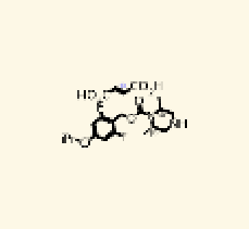 CC(C)Oc1cc(F)c(COC(=O)N2[C@H](C)CNC[C@@H]2C)c(F)c1.O=C(O)/C=C/C(=O)O